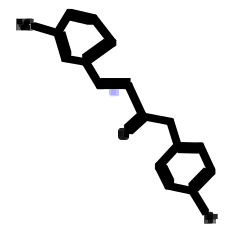 N#Cc1cccc(/C=C/C(=O)Cc2ccc(Br)cc2)c1